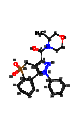 CC1COCCN1C(=O)c1nn(-c2ccccc2)c2c1CS(=O)(=O)c1ccccc1-2